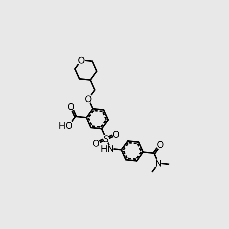 CN(C)C(=O)c1ccc(NS(=O)(=O)c2ccc(OCC3CCOCC3)c(C(=O)O)c2)cc1